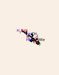 C=CCC(/C=C/C(=O)NCC(CO)CCCP)c1cc2c(C(=O)NC)c(-c3ccc(F)cc3)oc2c2cc[nH]c12